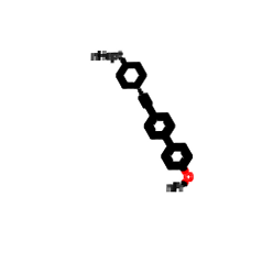 CCCCCCC[C@H]1CC[C@H](C#Cc2ccc(-c3ccc(OCCC)cc3)cc2)CC1